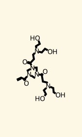 C=CC(=O)N1CN(C(=O)CCN(CCO)CCO)CN(C(=O)CCN(CCO)CCO)C1